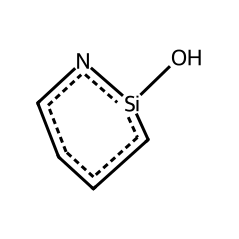 O[si]1ccccn1